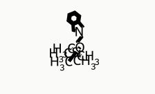 CC(C)(C)[Si](C)(C)OCCN1Cc2ccccc2C1